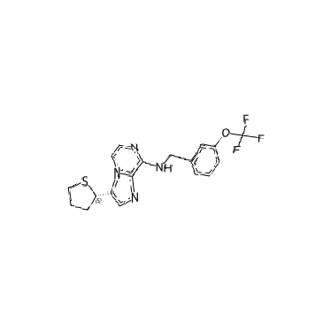 FC(F)(F)Oc1cccc(CNc2nccn3c([C@@H]4CCCS4)cnc23)c1